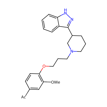 COc1cc(C(C)=O)ccc1OCCCN1CCCC(c2n[nH]c3ccccc23)C1